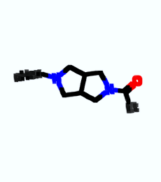 CCCCCCN1CC2CN(C(=O)CC)CC2C1